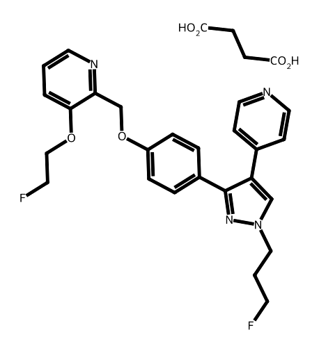 FCCCn1cc(-c2ccncc2)c(-c2ccc(OCc3ncccc3OCCF)cc2)n1.O=C(O)CCC(=O)O